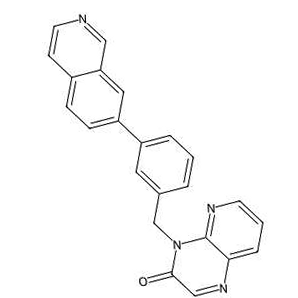 O=c1cnc2cccnc2n1Cc1cccc(-c2ccc3ccncc3c2)c1